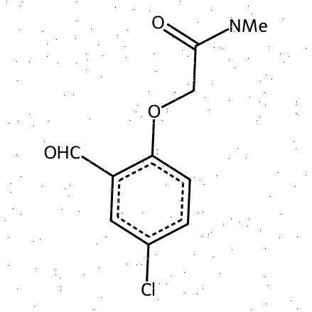 CNC(=O)COc1ccc(Cl)cc1C=O